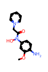 COc1cc(N(O)C(=O)C[n+]2ccccc2)ccc1N